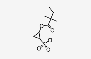 CCC(C)(C)C(=O)OC1CC1S(=O)(=O)Cl